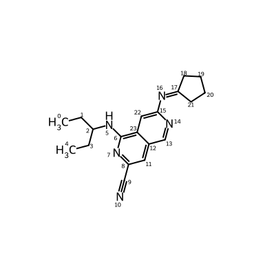 CCC(CC)Nc1nc(C#N)cc2cnc(N=C3CCCC3)cc12